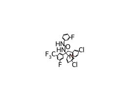 O=C(Nc1cccc(F)c1)N[C@@](Cc1cccc(Cl)c1)(c1cc(F)cc(C(F)(F)F)c1)c1ccc(Cl)cn1